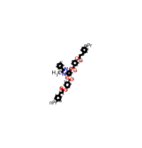 CCCc1ccc(CCC(=O)O[C@H]2CC[C@H](C(=O)Oc3ccc(OC(=O)[C@H]4CC[C@H](OC(=O)CCc5ccc(CCC)cc5)CC4)c4nc(-c5ccccc5)c(C)nc34)CC2)cc1